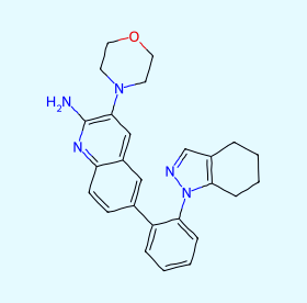 Nc1nc2ccc(-c3ccccc3-n3ncc4c3CCCC4)cc2cc1N1CCOCC1